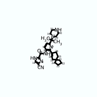 CC(C)(c1ccc(NC(=O)c2nc(C#N)c[nH]2)c(C2=CCC3(CCCC3)CC2)n1)N1CCNCC1